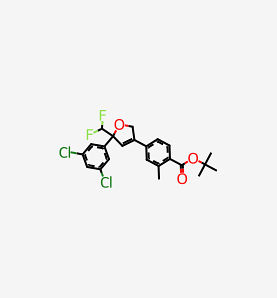 Cc1cc(C2=CC(c3cc(Cl)cc(Cl)c3)(C(F)F)OC2)ccc1C(=O)OC(C)(C)C